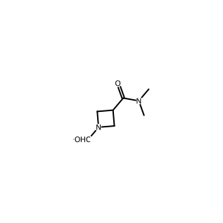 CN(C)C(=O)C1CN([C]=O)C1